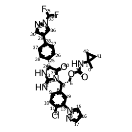 CC1(NC(=O)OC[C@H](c2ccc(Cl)c(-n3cccn3)c2)N2C(=N)N[C@H](c3ccc(-c4cnn(C(F)F)c4)cc3)C2=O)CC1